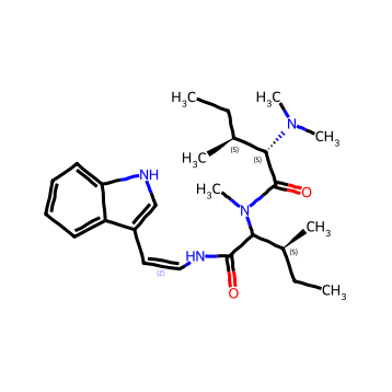 CC[C@H](C)C(C(=O)N/C=C\c1c[nH]c2ccccc12)N(C)C(=O)[C@H]([C@@H](C)CC)N(C)C